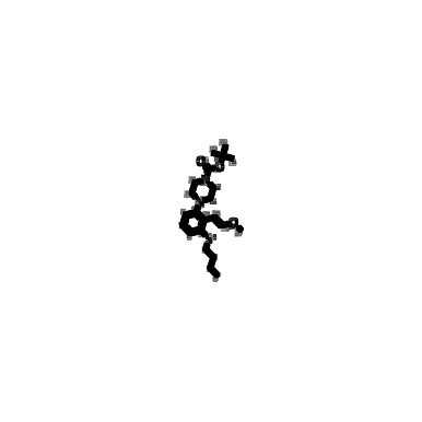 CCCCSc1cccc(N2CCN(C(=O)OC(C)(C)C)CC2)c1C=COC